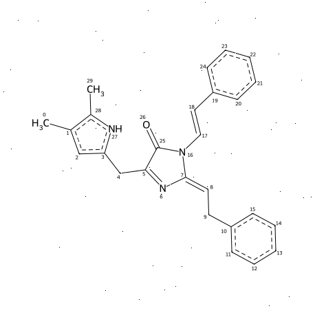 Cc1cc(CC2=N/C(=C\Cc3ccccc3)N(/C=C/c3ccccc3)C2=O)[nH]c1C